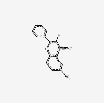 O=c1c(Br)c(-c2ccccc2)oc2ccc([N+](=O)[O-])cc12